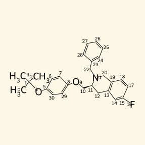 CC(C)(C)Oc1ccc(OC[C@@H]2Cc3cc(F)ccc3CN2Cc2ccccc2)cc1